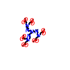 COC(=O)CCN(CCC(=O)OC)CCN(C)CCN(CCN(C)CCN(CCC(=O)OC)CCC(=O)OC)CCN(C)CCN(CCC(=O)OC)CCC(=O)OC